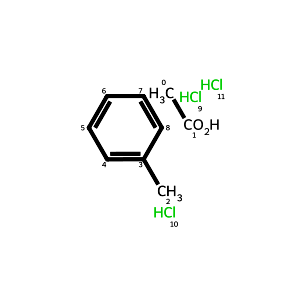 CC(=O)O.Cc1ccccc1.Cl.Cl.Cl